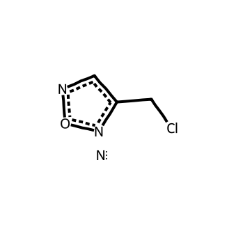 ClCc1cnon1.[N]